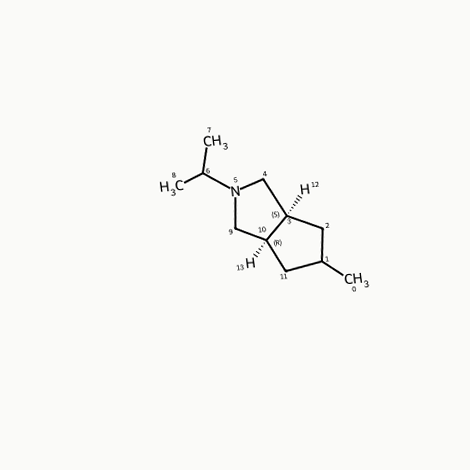 CC1C[C@@H]2CN(C(C)C)C[C@@H]2C1